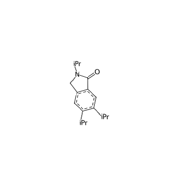 CC(C)c1cc2c(cc1C(C)C)C(=O)N(C(C)C)C2